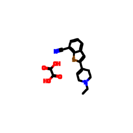 CCN1CC=C(c2cc3cccc(C#N)c3s2)CC1.O=C(O)C(=O)O